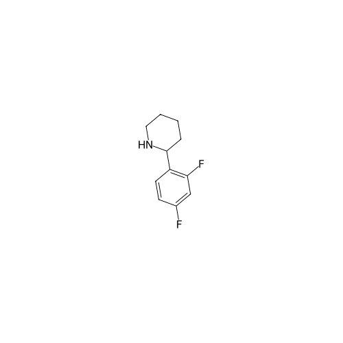 Fc1ccc(C2CCCCN2)c(F)c1